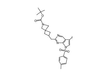 Cc1ccc(S(=O)(=O)n2cc(I)c3cnc(CC4CC5(C4)CN(C(=O)OC(C)(C)C)C5)nc32)cc1